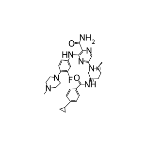 C[C@H]1CC[C@@H](NC(=O)c2ccc(C3CC3)cc2)CN1c1cnc(C(N)=O)c(Nc2ccc(N3CCN(C)CC3)c(F)c2)n1